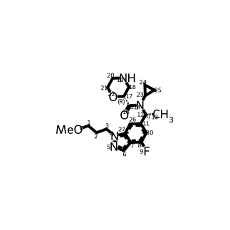 COCCCn1ncc2c(F)cc([C@@H](C)N(C(=O)[C@H]3CNCCO3)C3CC3)cc21